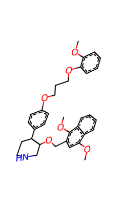 COc1ccccc1OCCCOc1ccc(C2CCNCC2OCc2cc(OC)c3ccccc3c2OC)cc1